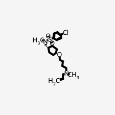 C=CCN(C)CCCCO[C@H]1CC[C@H](CN(C)S(=O)(=O)c2ccc(Cl)cc2)CC1